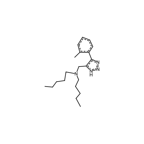 CCCCCN(CCCCC)Cc1[nH]nnc1-c1ccccc1C